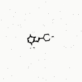 CCN(CC)c1ccc(OC)c2oc(C3CCN(C)CC3)cc12